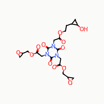 O=C(Cn1c(=O)n(CC(=O)OCC2CO2)c(=O)n(CC(=O)OCC2CO2)c1=O)OCCC1CC1O